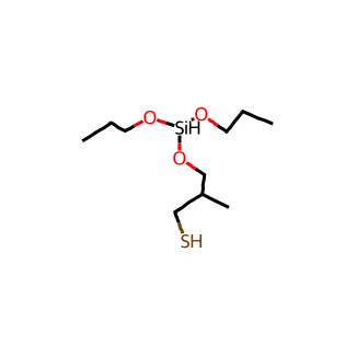 CCCO[SiH](OCCC)OCC(C)CS